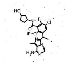 Cc1nc(C(C)c2cc(Cl)c(F)c(C(=O)NC3CCC(O)C3)c2OC(C)C)n2ccnc(N)c12